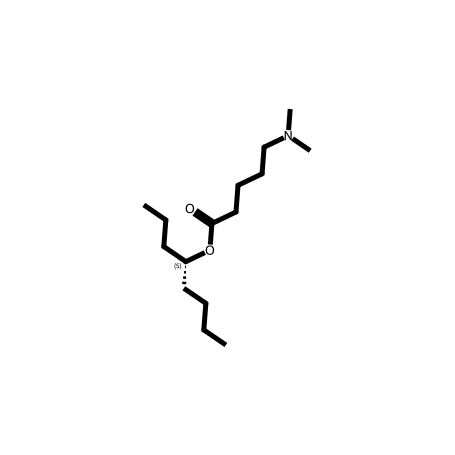 CCCC[C@H](CCC)OC(=O)CCCCN(C)C